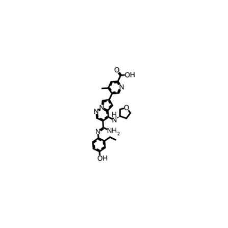 CCc1cc(O)ccc1/N=C(\N)c1cnn2cc(-c3cnc(C(=O)O)cc3C)cc2c1N[C@H]1CCOC1